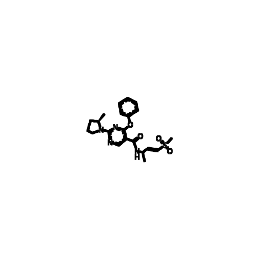 CC(/C=C/S(C)(=O)=O)NC(=O)c1cnc(N2CCC[C@H]2C)nc1Oc1ccccc1